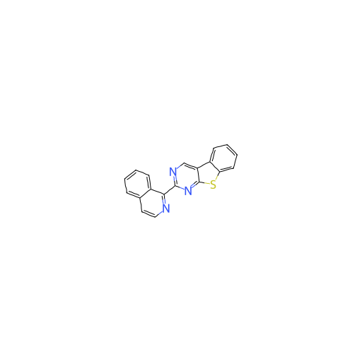 c1ccc2c(-c3ncc4c(n3)sc3ccccc34)nccc2c1